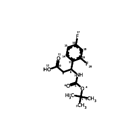 CC(C)(C)OC(=O)NC(CC(=O)O)c1ccc(F)cc1F